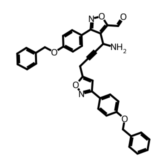 NC(C#CCc1cc(-c2ccc(OCc3ccccc3)cc2)no1)c1c(-c2ccc(OCc3ccccc3)cc2)noc1C=O